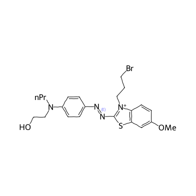 CCCN(CCO)c1ccc(/N=N/c2sc3cc(OC)ccc3[n+]2CCCBr)cc1